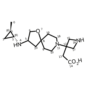 C[C@@H]1C[C@H]1NC1COC2(CCN(C3(CC(=O)O)CNC3)CC2)C1